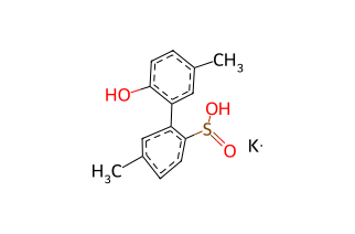 Cc1ccc(O)c(-c2cc(C)ccc2S(=O)O)c1.[K]